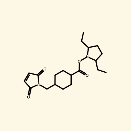 CCC1CCC(CC)N1OC(=O)C1CCC(CN2C(=O)C=CC2=O)CC1